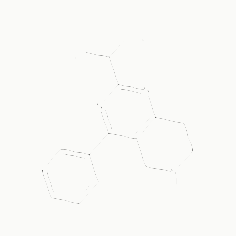 CC(C)c1nc2c(c(-c3ccccc3)n1)CNCC2